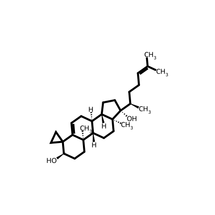 CC(C)=CCC[C@@H](C)[C@]1(O)CC[C@H]2[C@@H]3CC=C4C5(CC5)[C@H](O)CC[C@]4(C)[C@H]3CC[C@@]21C